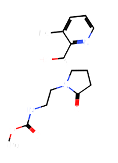 Cc1cccnc1C(O)[C@@H]1CCC(=O)N1CCNC(=O)OC(C)(C)C